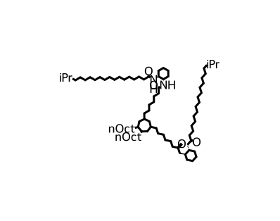 CCCCCCCCC1CC(CCCCCCC(=O)C[C@@H]2CCCC[C@H]2CC(=O)CCCCCCCCCCCCCCCC(C)C)CC(CCCCCCC(=O)N[C@H]2CCCC[C@@H]2NC(=O)CCCCCCCCCCCCCCCC(C)C)CC1CCCCCCCC